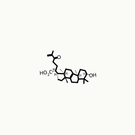 C=C(C)C(=O)CC[C@@H](C(=O)O)[C@H]1CC[C@@]2(C)C3=C(CC[C@]12C)[C@@]1(C)CC[C@H](O)C(C)(C)C1CC3